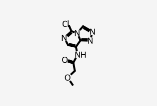 COCC(=O)Nc1cnc(Cl)n2cnnc12